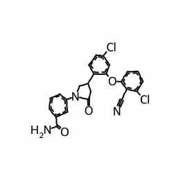 N#Cc1c(Cl)cccc1Oc1cc(Cl)ccc1C1CC(=O)N(c2cccc(C(N)=O)c2)C1